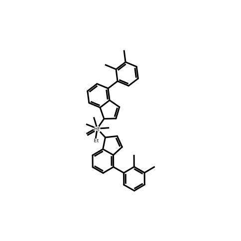 [CH2]=[Hf]([CH3])([CH3])([CH3])([CH2]C)([CH]1C=Cc2c(-c3cccc(C)c3C)cccc21)[CH]1C=Cc2c(-c3cccc(C)c3C)cccc21